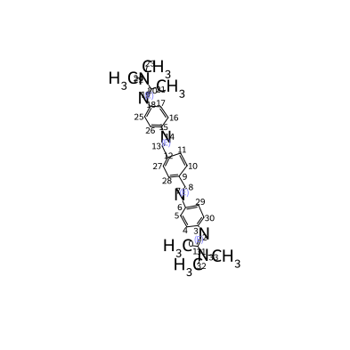 C/C(=N\c1ccc(/N=C/c2ccc(/C=N/c3ccc(/N=C(\C)N(C)C)cc3)cc2)cc1)N(C)C